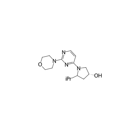 CC(C)C1C[C@@H](O)CN1c1ccnc(N2CCOCC2)n1